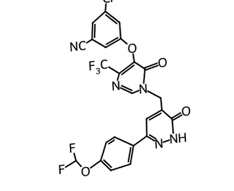 N#Cc1cc(Cl)cc(Oc2c(C(F)(F)F)ncn(Cc3cc(-c4ccc(OC(F)F)cc4)n[nH]c3=O)c2=O)c1